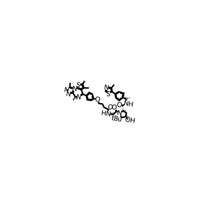 Cc1ncsc1-c1ccc([C@H](C)NC(=O)[C@@H]2C[C@@H](O)CN2C(=O)[C@@H](NC(=O)CCCOc2ccc(C3=N[C@@H](C)c4nnc(C)n4-c4sc(C)c(C)c43)cc2)C(C)(C)C)cc1